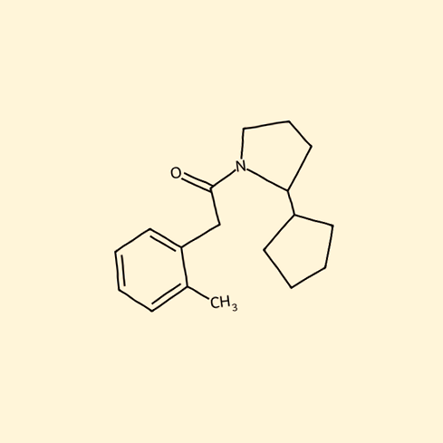 Cc1ccccc1CC(=O)N1CCCC1C1CCCC1